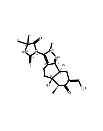 C[C@@H]1C(=O)/C(=C\O)C[C@]2(C)c3nn(C)c(N4C(=O)NC(C)(C)C4=O)c3CC[C@@H]12